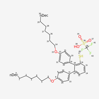 CCCCCCCCCCCCCCCCOc1ccc(-c2cccc(S)c2-c2ccc(OCCCCCCCCCCCCCCCC)cc2)cc1.O=S(=O)(O)C(F)(F)F